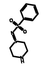 O=S(=O)(N=S1CCNCC1)c1ccccc1